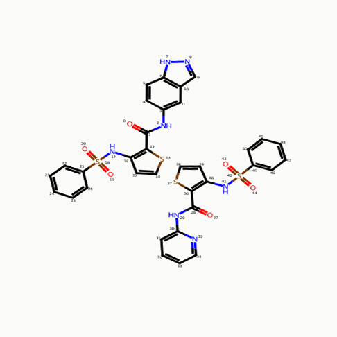 O=C(Nc1ccc2[nH]ncc2c1)c1sccc1NS(=O)(=O)c1ccccc1.O=C(Nc1ccccn1)c1sccc1NS(=O)(=O)c1ccccc1